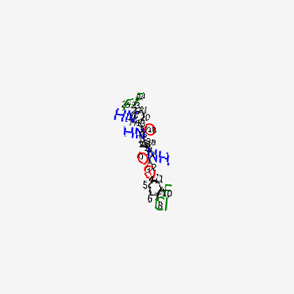 O=C(COc1ccc(Cl)c(F)c1)NC12CC(NC(=O)C3CCC(C(F)F)NC3)(C1)C2